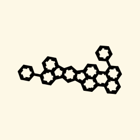 c1ccc(-c2ccc3c4cc5c(cc4c4cccc2c34)c2ccc3c4c(-c6ccccc6)ccc6cccc(c7ccc5c2c73)c64)cc1